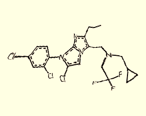 CCc1nc2n(-c3ccc(Cl)cc3Cl)c(Cl)cn2c1CN(CC1CC1)CC(F)(F)F